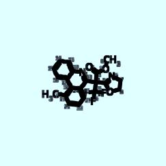 COC(=O)C(C1=NCCO1)(c1nc2ccccc2c2c(C)cccc12)C(F)(F)F